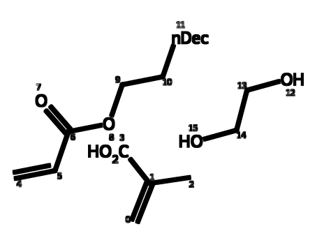 C=C(C)C(=O)O.C=CC(=O)OCCCCCCCCCCCC.OCCO